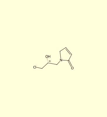 O=C1C=CCN1C[C@@H](O)CCl